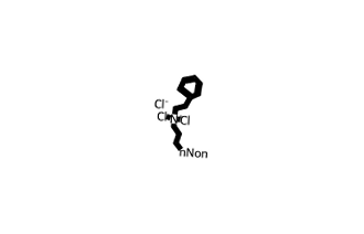 CCCCCCCCCCCC[N+](Cl)(Cl)CCc1ccccc1.[Cl-]